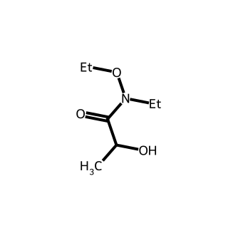 CCON(CC)C(=O)C(C)O